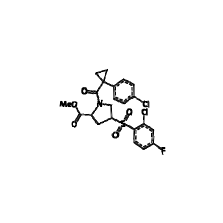 COC(=O)C1CC(S(=O)(=O)c2ccc(F)cc2Cl)CN1C(=O)C1(c2ccc(Cl)cc2)CC1